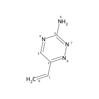 C=Cc1cnc(N)nn1